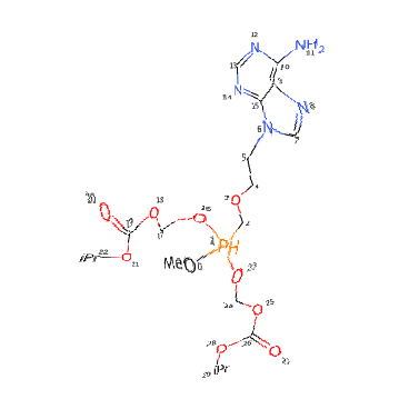 CO[PH](COCCn1cnc2c(N)ncnc21)(OCOC(=O)OC(C)C)OCOC(=O)OC(C)C